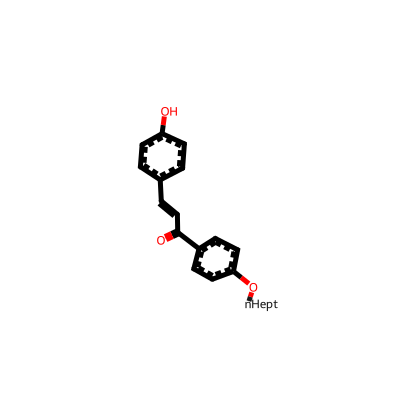 CCCCCCCOc1ccc(C(=O)/C=C/c2ccc(O)cc2)cc1